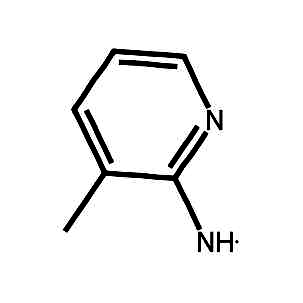 Cc1cccnc1[NH]